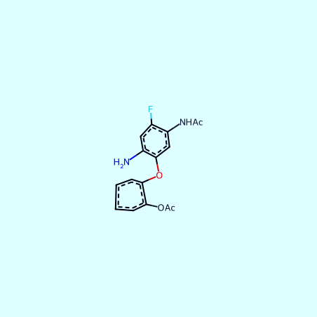 CC(=O)Nc1cc(Oc2ccccc2OC(C)=O)c(N)cc1F